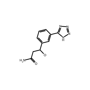 NC(=O)CC([O])c1cccc(-c2nnn[nH]2)c1